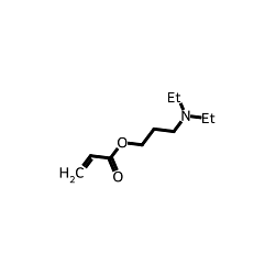 C=CC(=O)OCCCN(CC)CC